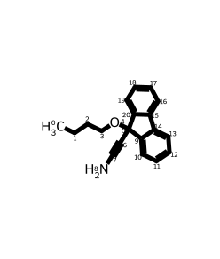 CCCCOC1(C#CN)c2ccccc2-c2ccccc21